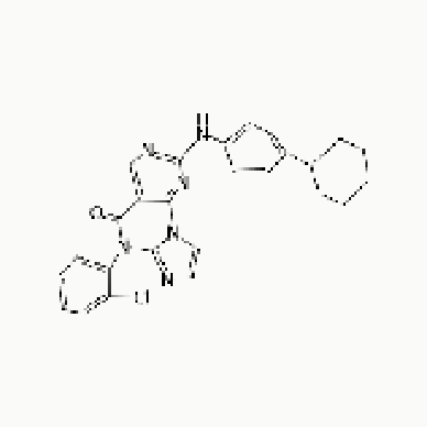 O=c1c2cnc(Nc3ccc(C4CCCCC4)cc3)nc2n2ccnc2n1-c1ccccc1Cl